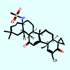 CC1(C)CC[C@]2(NS(C)(=O)=O)CC[C@]3(C)[C@H](C(=O)C=C4[C@@]5(C)C=C(C#N)C(=O)C6(CC6)[C@@H]5CC[C@]43C)[C@@H]2C1